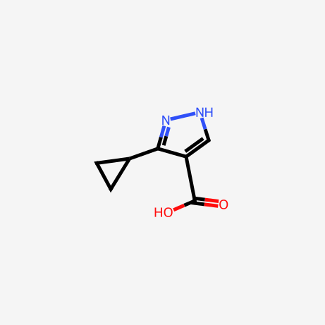 O=C(O)c1c[nH]nc1C1CC1